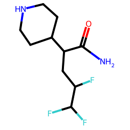 NC(=O)C(CC(F)C(F)F)C1CCNCC1